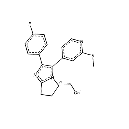 CSc1cc(-c2c(-c3ccc(F)cc3)nc3n2[C@H](CO)CC3)ccn1